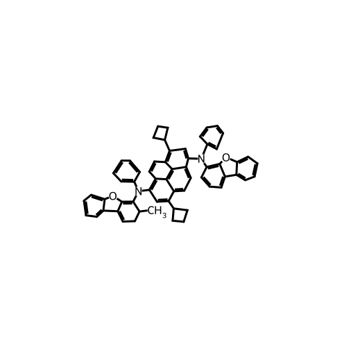 CC1CC=c2c(oc3ccccc23)=C1N(c1ccccc1)c1cc(C2CCC2)c2ccc3c(N(c4ccccc4)c4cccc5c4oc4ccccc45)cc(C4CCC4)c4ccc1c2c43